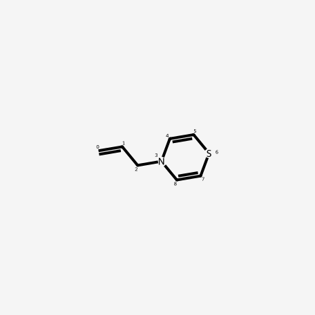 C=CCN1C=CSC=C1